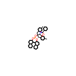 Cc1ccc(CC(Cc2ccc(C)cc2)(Op2oc3ccc4ccccc4c3c3c(ccc4ccccc43)o2)C2COC(c3ccccc3)=N2)cc1